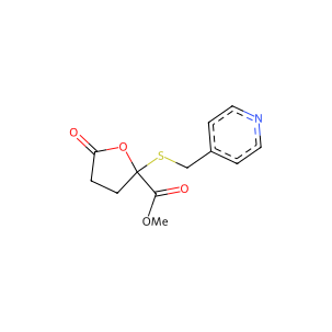 COC(=O)C1(SCc2ccncc2)CCC(=O)O1